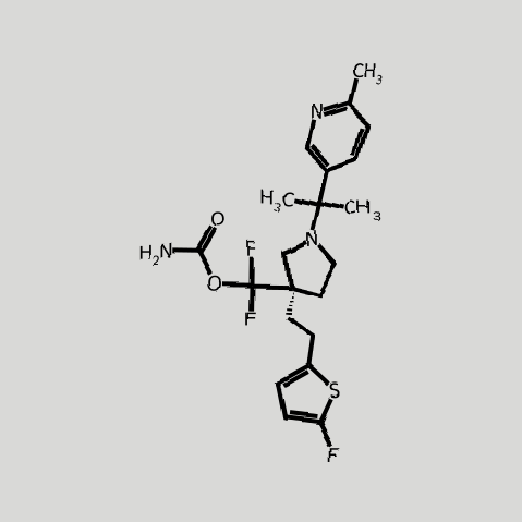 Cc1ccc(C(C)(C)N2CC[C@@](CCc3ccc(F)s3)(C(F)(F)OC(N)=O)C2)cn1